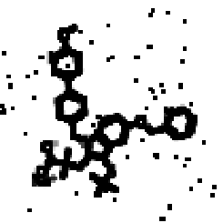 COc1ccc(-c2ccc(Cn3c(CC(C)(C)C(=O)[O-])c(SC(C)(C)C)c4cc(OCc5ccccn5)ccc43)cc2)cn1.[Na+]